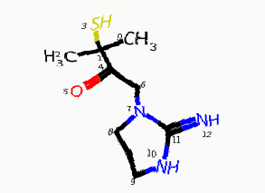 CC(C)(S)C(=O)CN1CCNC1=N